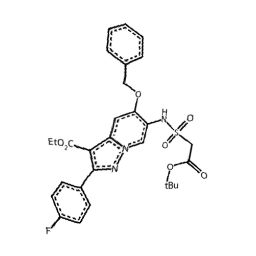 CCOC(=O)c1c(-c2ccc(F)cc2)nn2cc(NS(=O)(=O)CC(=O)OC(C)(C)C)c(OCc3ccccc3)cc12